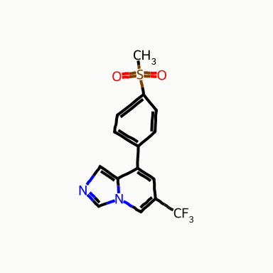 CS(=O)(=O)c1ccc(-c2cc(C(F)(F)F)cn3cncc23)cc1